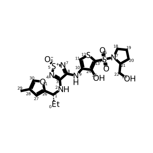 CC[C@@H](Nc1n[s+]([O-])nc1Nc1csc(S(=O)(=O)N2CCCC2CO)c1O)c1cc(C)co1